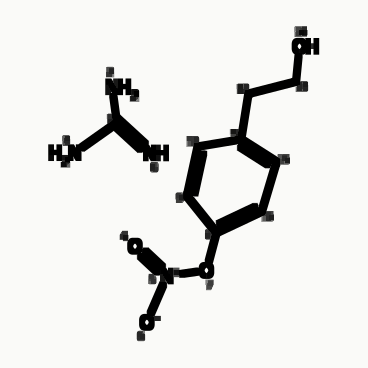 N=C(N)N.O=[N+]([O-])Oc1ccc(CCO)cc1